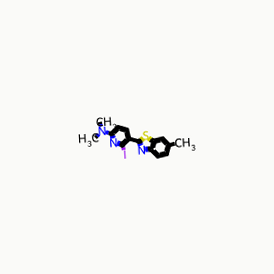 Cc1ccc2nc(-c3ccc(N(C)C)nc3I)sc2c1